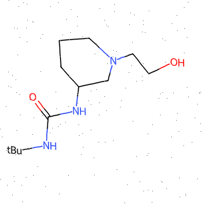 CC(C)(C)NC(=O)NC1CCCN(CCO)C1